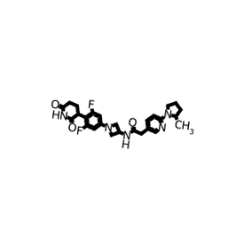 CC1CCCN1c1ccc(CC(=O)NC2CN(c3cc(F)c(C4CCC(=O)NC4=O)c(F)c3)C2)cn1